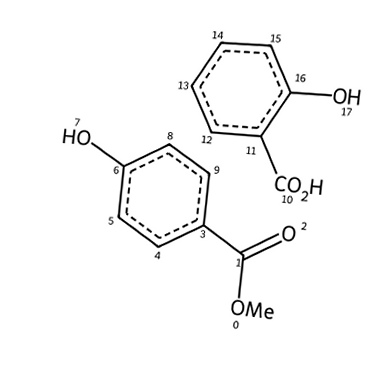 COC(=O)c1ccc(O)cc1.O=C(O)c1ccccc1O